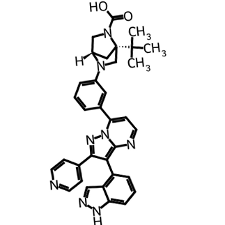 CC(C)(C)[C@]12C[C@@H](CN1C(=O)O)N(c1cccc(-c3ccnc4c(-c5cccc6[nH]ncc56)c(-c5ccncc5)nn34)c1)C2